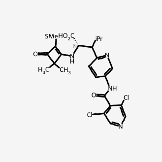 CSC1=C(N[C@H](C(=O)O)C(c2ccc(NC(=O)c3c(Cl)cncc3Cl)cn2)C(C)C)C(C)(C)C1=O